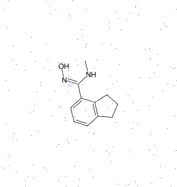 CN/C(=N\O)c1cccc2c1CCC2